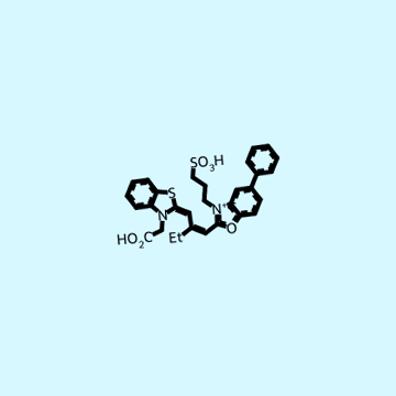 CCC(=Cc1oc2ccc(-c3ccccc3)cc2[n+]1CCCS(=O)(=O)O)C=C1Sc2ccccc2N1CC(=O)O